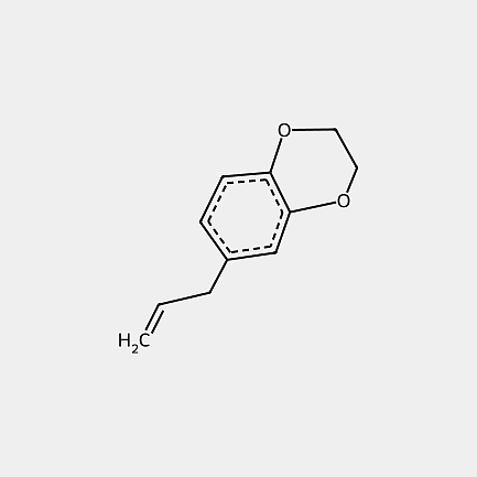 C=CCc1ccc2c(c1)OCCO2